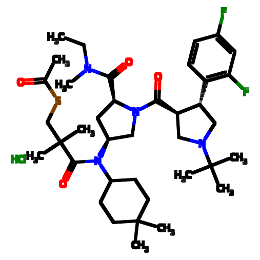 CCN(C)C(=O)[C@@H]1C[C@H](N(C(=O)C(C)(C)CSC(C)=O)C2CCC(C)(C)CC2)CN1C(=O)[C@@H]1CN(C(C)(C)C)C[C@H]1c1ccc(F)cc1F.Cl